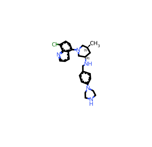 C[C@H]1C[C@@H](NCc2ccc(N3CCNCC3)cc2)CN(c2ccc(Cl)c3ncccc23)C1